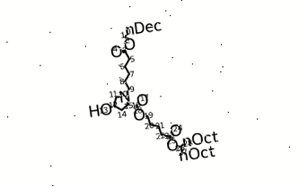 CCCCCCCCCCCOC(=O)CCCCCN1C[C@@H](O)C[C@H]1C(=O)OCCCCC(=O)OC(CCCCCCCC)CCCCCCCC